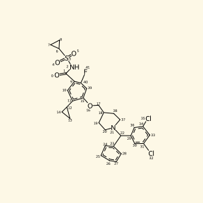 O=C(NS(=O)(=O)C1CC1)c1cc(C2CC2)c(OCC2CCN(C(c3ccccc3)c3cc(Cl)cc(Cl)c3)CC2)cc1F